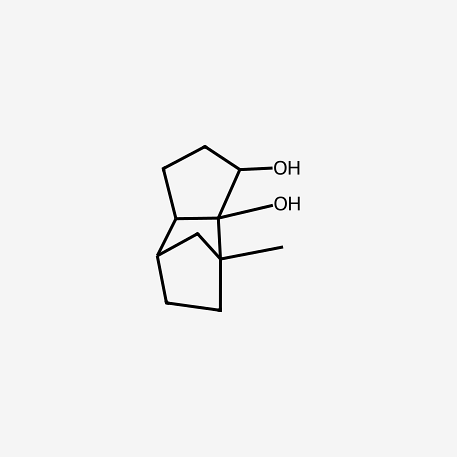 CC12CCC(C1)C1CCC(O)C12O